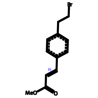 COC(=O)/C=C/c1ccc(CCBr)cc1